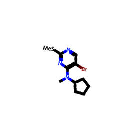 CSc1ncc(Br)c(N(C)C2CCCC2)n1